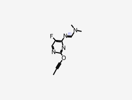 CC#COc1ncc(F)c(/N=C/N(C)C)n1